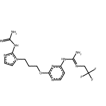 N=C(N)Nc1nccn1CCCOc1nccc(NC(N)=NCC(F)(F)F)n1